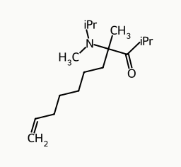 C=CCCCCCC(C)(C(=O)C(C)C)N(C)C(C)C